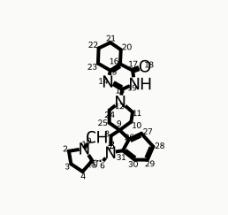 CN1CCC[C@H]1CN1CC2(CCN(c3nc4c(c(=O)[nH]3)CCCC4)CC2)c2ccccc21